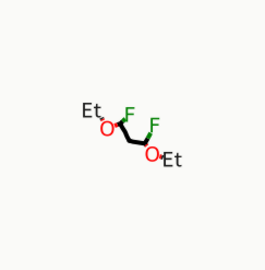 CCOC(F)CC(F)OCC